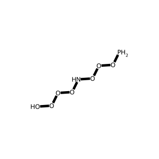 OOOONOOOP